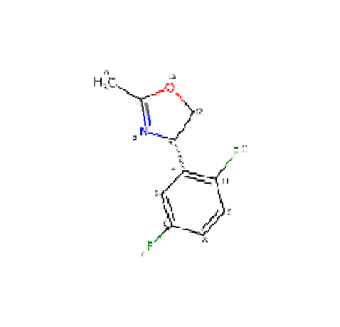 CC1=N[C@@H](c2cc(F)ccc2F)CO1